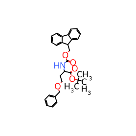 CC(C)(C)OC(=O)C(CCOCc1ccccc1)NC(=O)OCC1c2ccccc2-c2ccccc21